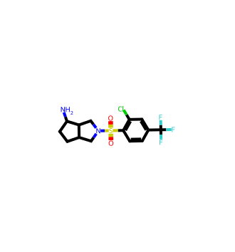 NC1CCC2CN(S(=O)(=O)c3ccc(C(F)(F)F)cc3Cl)CC12